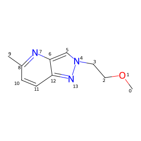 COCCn1cc2nc(C)ccc2n1